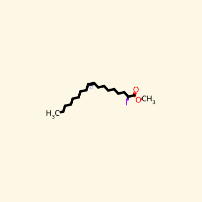 CCCCCCCC/C=C\CCCCCCC(I)C(=O)OC